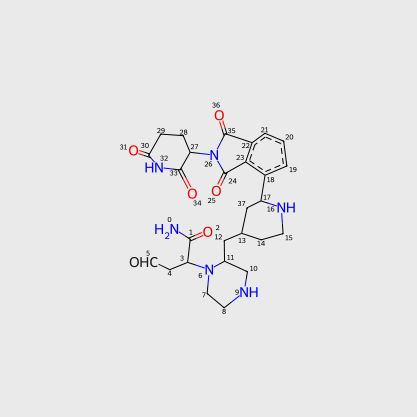 NC(=O)C(CC=O)N1CCNCC1CC1CCNC(c2cccc3c2C(=O)N(C2CCC(=O)NC2=O)C3=O)C1